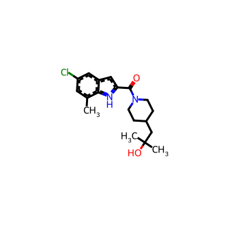 Cc1cc(Cl)cc2cc(C(=O)N3CCC(CC(C)(C)O)CC3)[nH]c12